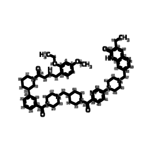 CCOc1cc(OC)ccc1CNCC(=O)N1CCC[C@H](c2cccc(C(=O)N3CCN(CC4CCN(C(=O)c5ccc(N6CCN(Cc7cnc8cc(CC)c(=O)[nH]c8c7)CC6)cn5)CC4)CC3)c2)C1